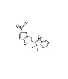 C[N+]1=C(/C=C/c2cc([N+](=O)[O-])ccc2[O-])C(C)(C)c2ccccc21